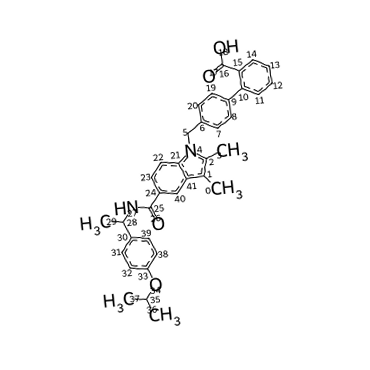 Cc1c(C)n(Cc2ccc(-c3ccccc3C(=O)O)cc2)c2ccc(C(=O)NC(C)c3ccc(OC(C)C)cc3)cc12